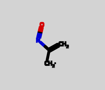 [CH2]C(=C)N=O